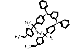 C=Cc1ccc(C(C)(C)c2ccc(N(c3ccccc3)c3cccc(N(c4ccccc4)c4ccc(C(C)(C)c5ccc(C=C)cc5)cc4)c3)cc2)cc1